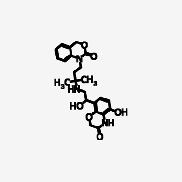 CC(C)(CCN1C(=O)OCc2ccccc21)NCC(O)c1ccc(O)c2c1OCC(=O)N2